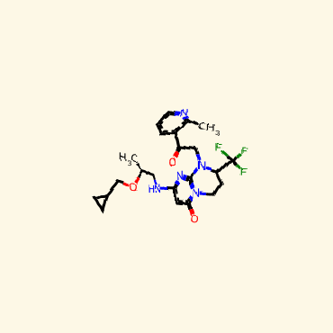 Cc1ncccc1C(=O)CN1c2nc(NC[C@H](C)OCC3CC3)cc(=O)n2CCC1C(F)(F)F